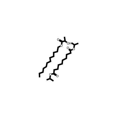 CC(C)OC(=O)CCCCCCCCC(=O)OC(C)C.CCCCCCCCCCCCOC(=O)C(C)O